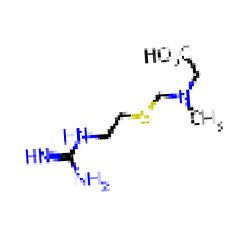 CN(CSCCNC(=N)N)CC(=O)O